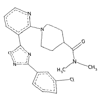 CN(C)C(=O)C1CCN(c2ncccc2-c2nc(-c3cccc(Cl)c3)no2)CC1